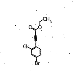 CCOC(=O)C#Cc1ccc(Br)cc1Cl